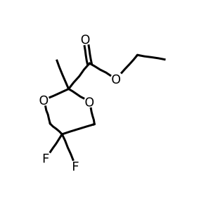 CCOC(=O)C1(C)OCC(F)(F)CO1